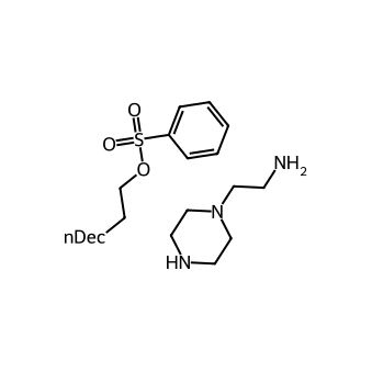 CCCCCCCCCCCCOS(=O)(=O)c1ccccc1.NCCN1CCNCC1